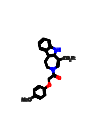 CCOC(=O)C1=CN(C(=O)COc2ccc(OC)cc2)CCc2c1[nH]c1ccccc21